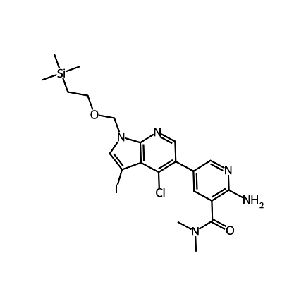 CN(C)C(=O)c1cc(-c2cnc3c(c(I)cn3COCC[Si](C)(C)C)c2Cl)cnc1N